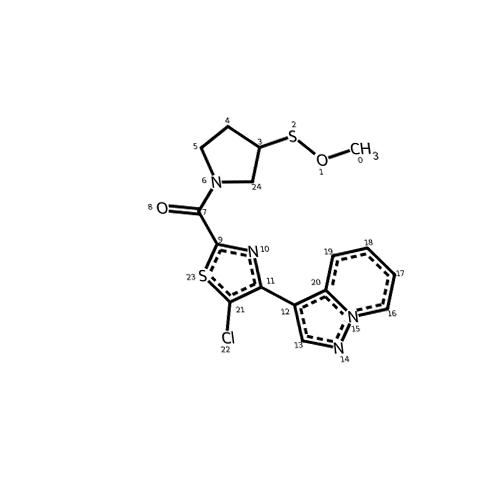 COSC1CCN(C(=O)c2nc(-c3cnn4ccccc34)c(Cl)s2)C1